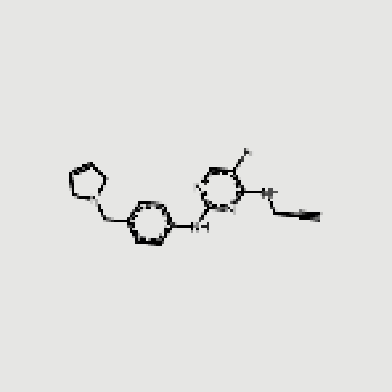 C#CCNc1nc(Nc2ccc(CN3CC=CC3)cc2)ncc1Br